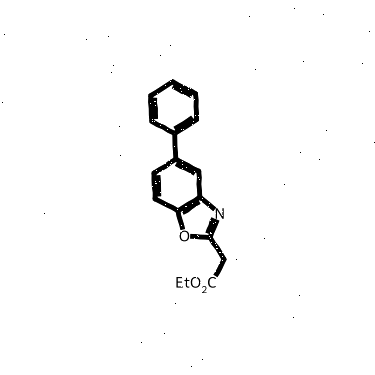 CCOC(=O)Cc1nc2cc(-c3ccccc3)ccc2o1